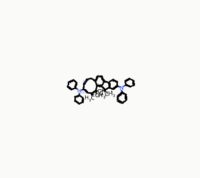 C=C1/C=C(N(c2ccccc2)c2ccccc2)\C=C/Cc2ccc3c(c2C1(C)C)C(C)(C)c1cc(N(c2ccccc2)c2ccccc2)ccc1-3